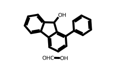 O=CO.OC1c2ccccc2-c2cccc(-c3ccccc3)c21